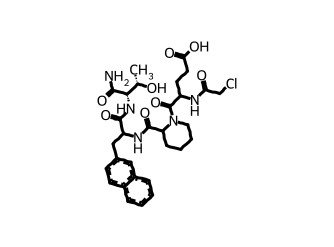 C[C@H](O)[C@H](NC(=O)C(Cc1ccc2ccccc2c1)NC(=O)C1CCCCN1C(=O)C(CCC(=O)O)NC(=O)CCl)C(N)=O